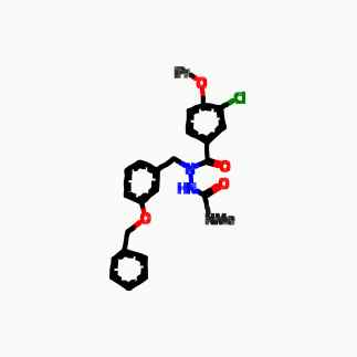 CNC(=O)NN(Cc1cccc(OCc2ccccc2)c1)C(=O)c1ccc(OC(C)C)c(Cl)c1